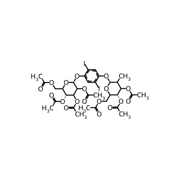 CC(=O)OCC1O[C@@H](Oc2cc(I)c(O[C@@H]3OC(COC(C)=O)[C@@H](OC(C)=O)C(OC(C)=O)C3OC(C)=O)cc2I)C(C)C(OC(C)=O)[C@@H]1OC(C)=O